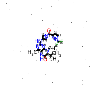 Cc1nc(NC2CN(C(=O)c3ccn(C(F)F)n3)C2)nc2c1NC(=O)[C@H](C(C)C)N2C